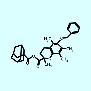 Cc1c(C)c2c(c(C)c1OCc1ccccc1)CCC(C)(C(=O)OC(=O)C13CC4CC(CC(C4)C1)C3)O2